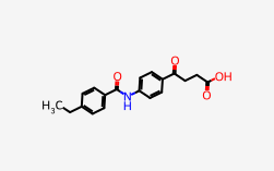 CCc1ccc(C(=O)Nc2ccc(C(=O)CCC(=O)O)cc2)cc1